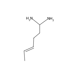 CC=CCCC(N)N